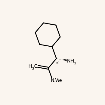 C=C(NC)[C@@H](N)C1CCCCC1